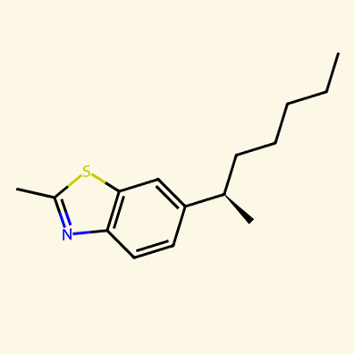 CCCCC[C@@H](C)c1ccc2nc(C)sc2c1